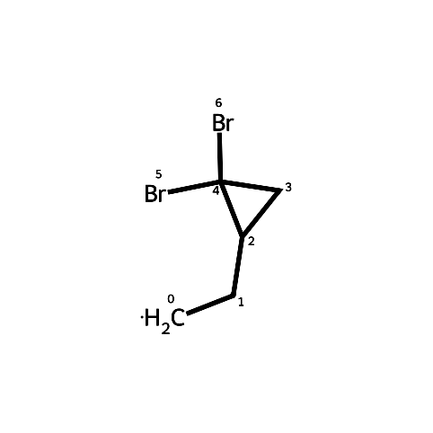 [CH2]CC1CC1(Br)Br